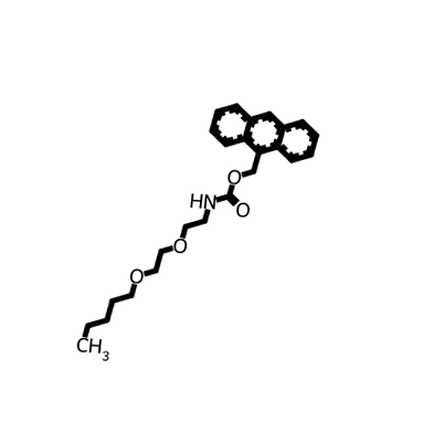 CCCCCOCCOCCNC(=O)OCc1c2ccccc2cc2ccccc12